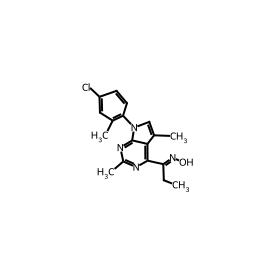 CCC(=NO)c1nc(C)nc2c1c(C)cn2-c1ccc(Cl)cc1C